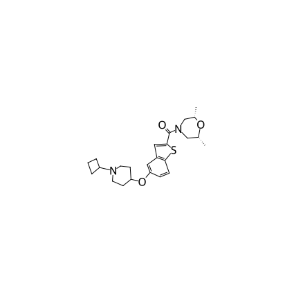 C[C@@H]1CN(C(=O)c2cc3cc(OC4CCN(C5CCC5)CC4)ccc3s2)C[C@H](C)O1